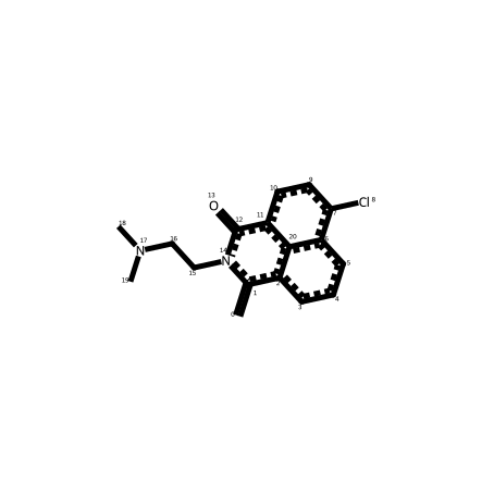 C=c1c2cccc3c(Cl)ccc(c(=O)n1CCN(C)C)c32